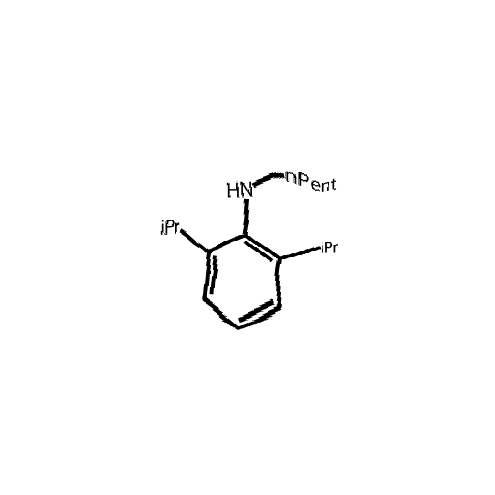 CCCCCNc1c(C(C)C)cccc1C(C)C